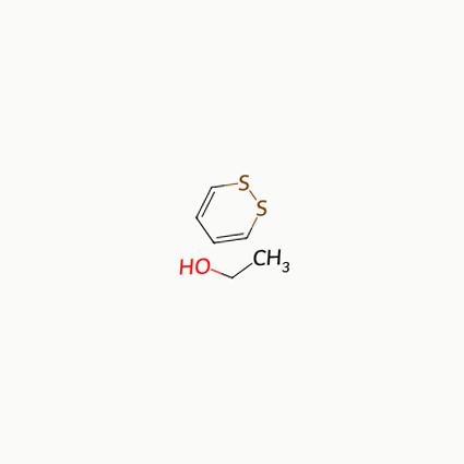 C1=CSSC=C1.CCO